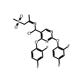 CC(CS(C)(=O)=O)=NC(Cl)c1cnc(Oc2ccc(F)cc2F)nc1Oc1ccc(F)cc1F